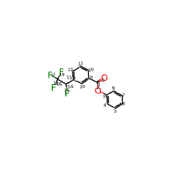 O=C(Oc1ccccc1)c1cccc(C(F)C(F)(F)F)c1